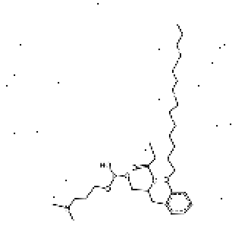 CCCCCCCCCCCCCCOc1ccccc1CC(COP(O)OCCCN(C)C)OC(=O)CC